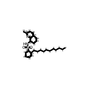 CCCCCCCCCCCc1ccccc1S(=O)(=O)Nc1cccc2ccc(C)nc12